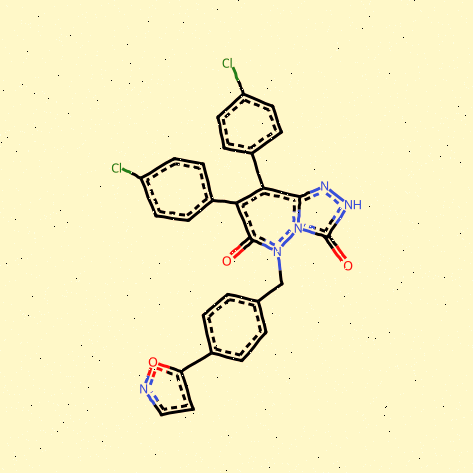 O=c1c(-c2ccc(Cl)cc2)c(-c2ccc(Cl)cc2)c2n[nH]c(=O)n2n1Cc1ccc(-c2ccno2)cc1